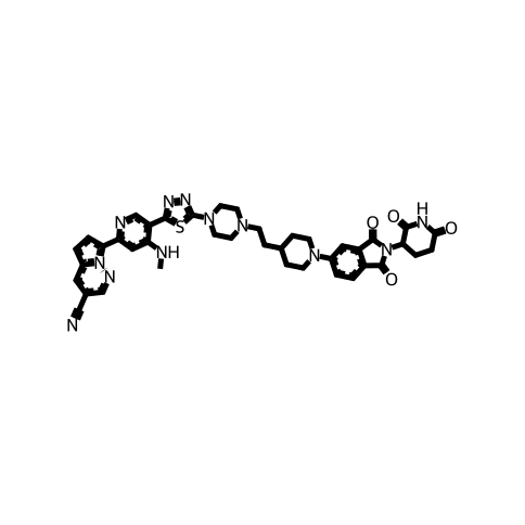 CNc1cc(-c2ccc3cc(C#N)cnn23)ncc1-c1nnc(N2CCN(CCC3CCN(c4ccc5c(c4)C(=O)N(C4CCC(=O)NC4=O)C5=O)CC3)CC2)s1